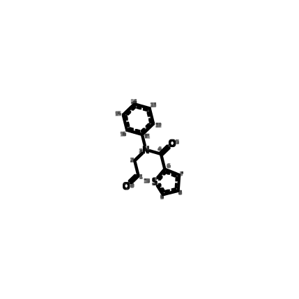 O=CCN(C(=O)c1cccs1)c1ccccc1